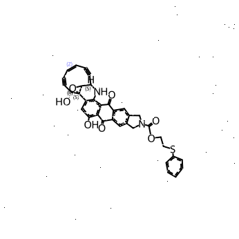 O=C1c2cc3c(cc2C(=O)c2c4c(cc(O)c21)[C@@]12OC1[C@H](C#C/C=C\C#C[C@H]2O)N4)CN(C(=O)OCCSc1ccccc1)C3